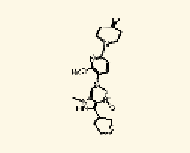 COc1nc(N2CCC(=O)CC2)ccc1N1C=C2C(=C(C3CCCCC3)NN2C)[N+](=O)C1